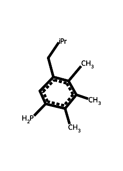 Cc1c(P)cc(CC(C)C)c(C)c1C